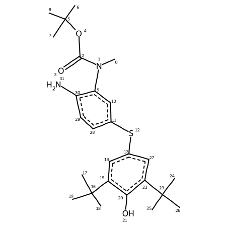 CN(C(=O)OC(C)(C)C)c1cc(Sc2cc(C(C)(C)C)c(O)c(C(C)(C)C)c2)ccc1N